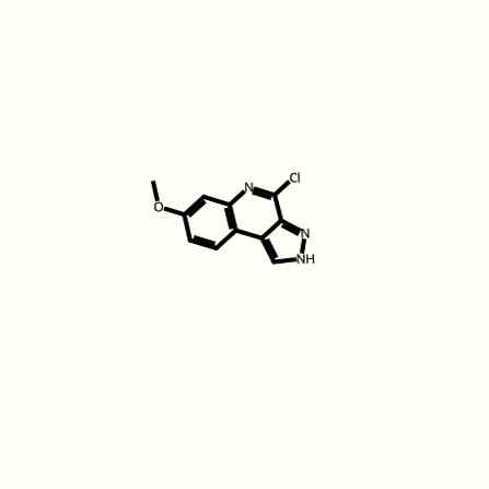 COc1ccc2c(c1)nc(Cl)c1n[nH]cc12